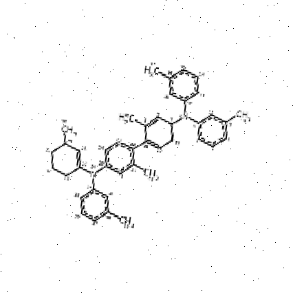 CC1=CC(N(c2cccc(C)c2)c2cccc(C)c2)CC=C1c1ccc(N(C2=CC(C)CCC2)c2cccc(C)c2)cc1C